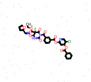 CCOC(=O)C1(F)C(=O)N(C(=O)c2cccc(C(=O)Oc3cc(OC(=O)c4ccccc4)c(Cl)cn3)c2)C(=O)NC1ON=Cc1ccco1